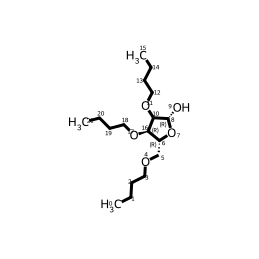 CCCCOC[C@H]1O[C@@H](O)C(OCCCC)[C@@H]1OCCCC